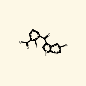 NC(=O)c1cccc(C(=O)c2c[nH]c3ncc(Br)cc23)c1F